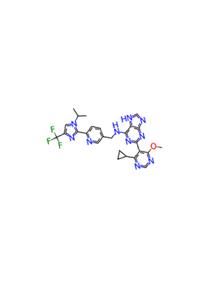 COc1ncnc(C2CC2)c1-c1nc(NCc2ccc(-c3nc(C(F)(F)F)cn3C(C)C)nc2)c2[nH]cnc2n1